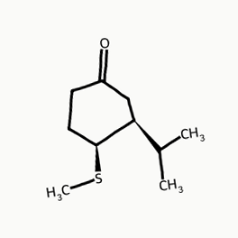 CS[C@H]1CCC(=O)C[C@H]1C(C)C